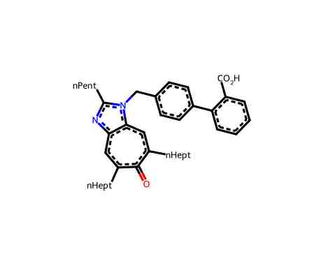 CCCCCCCc1cc2nc(CCCCC)n(Cc3ccc(-c4ccccc4C(=O)O)cc3)c2cc(CCCCCCC)c1=O